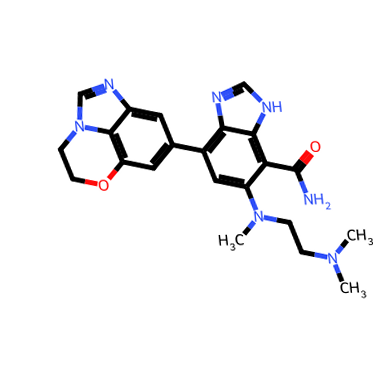 CN(C)CCN(C)c1cc(-c2cc3c4c(c2)ncn4CCO3)c2nc[nH]c2c1C(N)=O